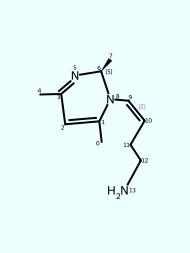 CC1=CC(C)=N[C@@H](C)N1/C=C\CCN